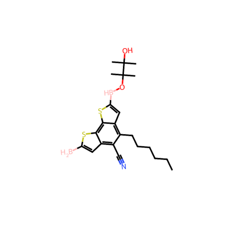 Bc1cc2c(C#N)c(CCCCCC)c3cc(BOC(C)(C)C(C)(C)O)sc3c2s1